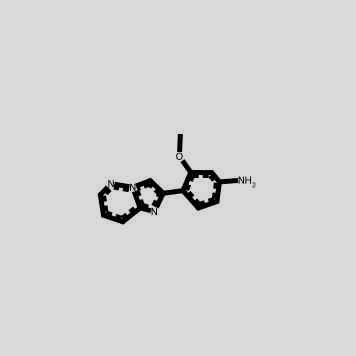 COc1cc(N)ccc1-c1cn2ncccc2n1